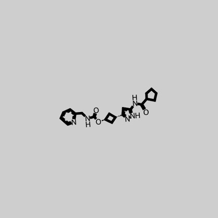 O=C(NCc1ccccn1)O[C@H]1C[C@@H](c2cc(NC(=O)C3CCCC3)[nH]n2)C1